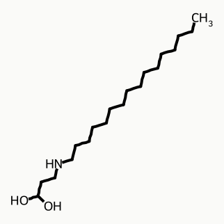 CCCCCCCCCCCCCCCCNCCC(O)O